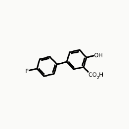 O=C(O)c1cc(-c2ccc(F)cc2)ccc1O